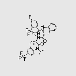 CC(C)N1C(=O)[C@H](NC(=O)[C@@H](Cc2ccccc2F)NC(=O)c2ccc(F)cc2C(F)(F)F)CCc2cc(C(F)(F)F)ccc21